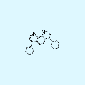 C1=CCCC(c2ccnc3c2ccc2c(-c4ccccc4)ccnc23)=C1